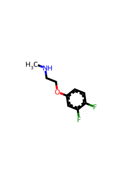 CNCCOc1ccc(F)c(F)c1